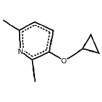 Cc1ccc(OC2CC2)c(C)n1